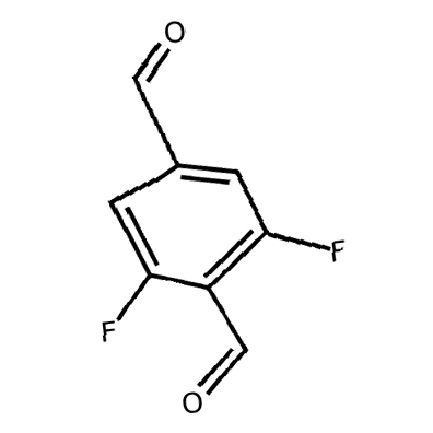 O=Cc1cc(F)c(C=O)c(F)c1